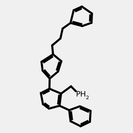 PCc1c(-c2ccccc2)cccc1-c1ccc(CCCc2ccccc2)cc1